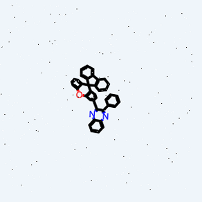 C1=CC2=C(CC1)c1ccccc1C21c2ccccc2Oc2cc(-c3nc4ccccc4nc3-c3ccccc3)ccc21